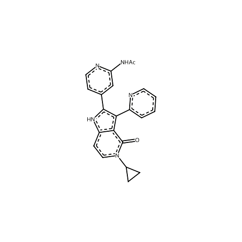 CC(=O)Nc1cc(-c2[nH]c3ccn(C4CC4)c(=O)c3c2-c2ccccn2)ccn1